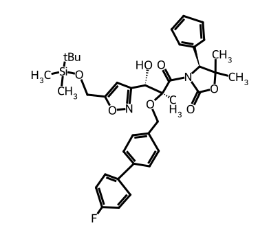 CC1(C)OC(=O)N(C(=O)[C@@](C)(OCc2ccc(-c3ccc(F)cc3)cc2)[C@@H](O)c2cc(CO[Si](C)(C)C(C)(C)C)on2)[C@H]1c1ccccc1